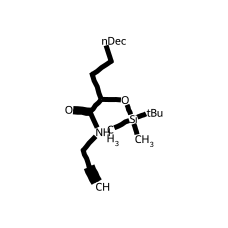 C#CCNC(=O)C(CCCCC[CH]CCCCCC)O[Si](C)(C)C(C)(C)C